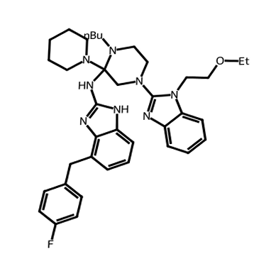 CCCCN1CCN(c2nc3ccccc3n2CCOCC)CC1(Nc1nc2c(Cc3ccc(F)cc3)cccc2[nH]1)N1CCCCC1